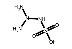 NN(N)NS(=O)(=O)O